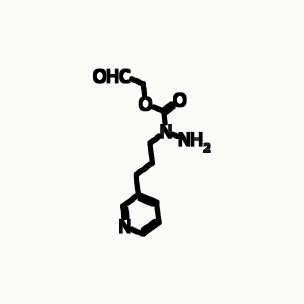 NN(CCCc1cccnc1)C(=O)OCC=O